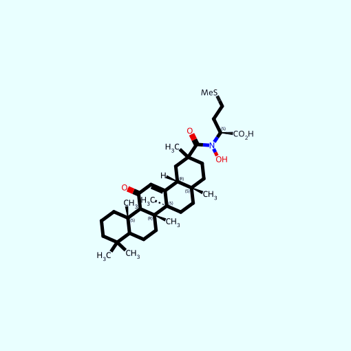 CSCC[C@@H](C(=O)O)N(O)C(=O)C1(C)CC[C@]2(C)CC[C@]3(C)C(=CC(=O)C4[C@@]5(C)CCCC(C)(C)C5CC[C@]43C)[C@@H]2C1